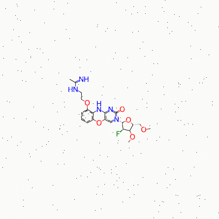 COC[C@H]1O[C@@H](n2cc3c(nc2=O)Nc2c(OCCNC(C)=N)cccc2O3)[C@H](F)C1OC